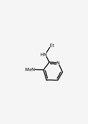 CCNc1ncccc1NC